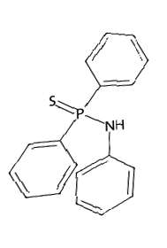 S=P(Nc1ccccc1)(c1ccccc1)c1ccccc1